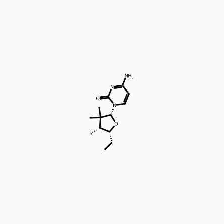 CC[C@H]1O[C@@H](n2ccc(N)nc2=O)C(C)(C)[C@H]1C